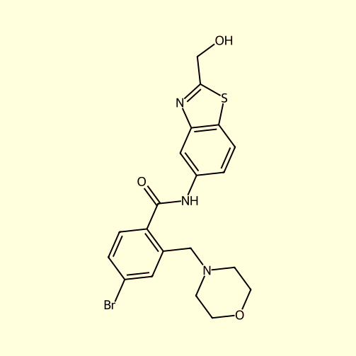 O=C(Nc1ccc2sc(CO)nc2c1)c1ccc(Br)cc1CN1CCOCC1